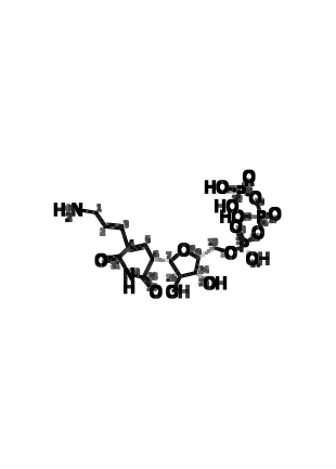 NC/C=C/C1=CC([C@@H]2O[C@H](COP(=O)(O)OP(=O)(O)OP(=O)(O)O)[C@H](O)C2O)C(=O)NC1=O